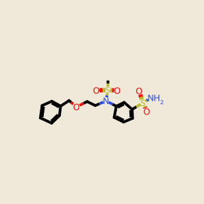 CS(=O)(=O)N(CCOCc1ccccc1)c1cccc(S(N)(=O)=O)c1